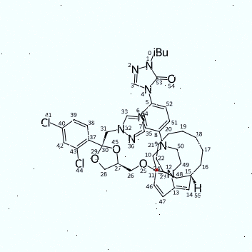 CCC(C)n1ncn(-c2ccc(N3CCN(C4=C\[C@H]5CCCCCCC\C(=C(OC[C@H]6CO[C@](Cn7cncn7)(c7ccc(Cl)cc7Cl)O6)/C=C\4)C5)CC3)cc2)c1=O